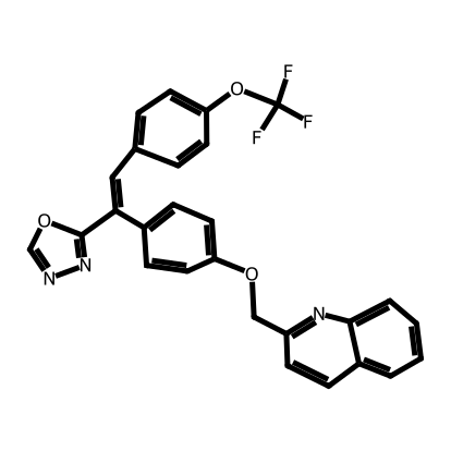 FC(F)(F)Oc1ccc(/C=C(\c2ccc(OCc3ccc4ccccc4n3)cc2)c2nnco2)cc1